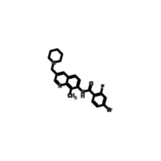 Cc1c(NC(=O)c2ccc(Br)cc2F)ccc2cc(CN3CCCCC3)cnc12